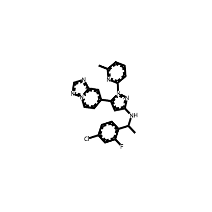 Cc1cccc(-n2nc(NC(C)c3ccc(Cl)cc3F)cc2-c2ccn3ncnc3c2)n1